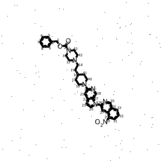 O=C(OCc1ccccc1)N1CCN(CCC2CCN(c3cc4ccn(-c5cc6c([N+](=O)[O-])cccc6cn5)c4cn3)CC2)CC1